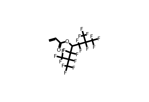 C=CC(=O)OC(C(F)(F)C(F)(C(F)(F)F)C(F)(F)F)C(F)(F)C(F)(C(F)(F)F)C(F)(F)F